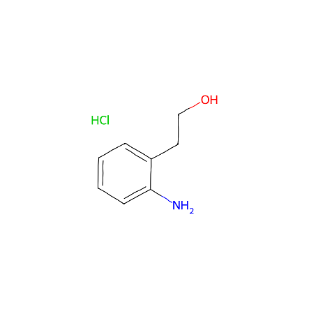 Cl.Nc1ccccc1CCO